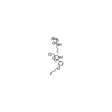 CC(C)(C)OC(=O)NCCCC[C@H](NC(=O)c1cccc(OCCCF)c1)C(=O)CCl